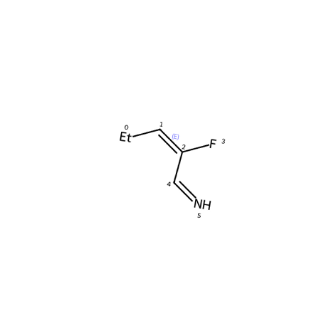 CC/C=C(/F)C=N